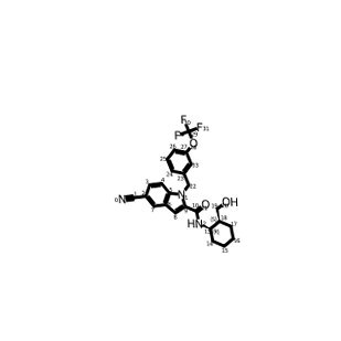 N#Cc1ccc2c(c1)cc(C(=O)N[C@@H]1CCCC[C@@H]1CO)n2Cc1cccc(OC(F)(F)F)c1